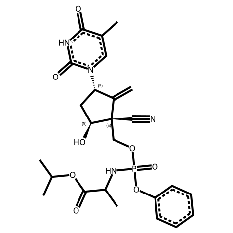 C=C1[C@@H](n2cc(C)c(=O)[nH]c2=O)C[C@H](O)[C@@]1(C#N)COP(=O)(NC(C)C(=O)OC(C)C)Oc1ccccc1